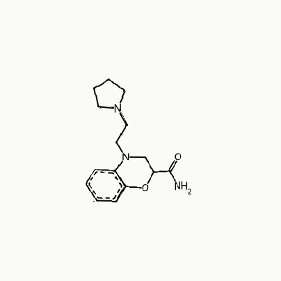 NC(=O)C1CN(CCN2CCCC2)c2cc[c]cc2O1